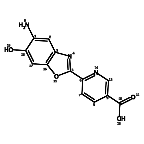 Nc1cc2nc(-c3ccc(C(=O)O)cn3)oc2cc1O